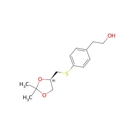 CC1(C)OC[C@H](CSc2ccc(CCO)cc2)O1